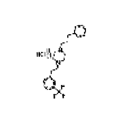 Cl.Cl.FC(F)(F)c1cccc(CCN2CCN(CCCc3ccccc3)CC2)c1